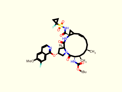 COc1cc2ccnc(O[C@@H]3C[C@H]4C(=O)N[C@]5(C(=O)NS(=O)(=O)C6(F)CC6)CC5/C=C\CC[C@@H](C)C[C@@H](C)[C@H](NC(=O)OC(C)(C)C)C(=O)N4C3)c2cc1F